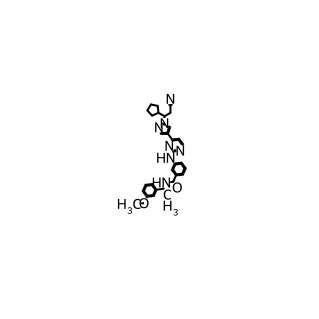 COc1cccc(C(C)NC(=O)c2cccc(Nc3nccc(-c4cnn(C(CC#N)C5CCCC5)c4)n3)c2)c1